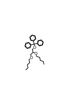 CCCCCOCC(COC(c1ccccc1)(c1ccccc1)c1ccccc1)OCCCCC